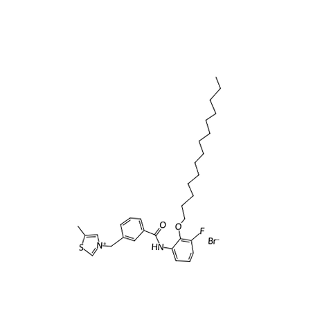 CCCCCCCCCCCCCCOc1c(F)cccc1NC(=O)c1cccc(C[n+]2csc(C)c2)c1.[Br-]